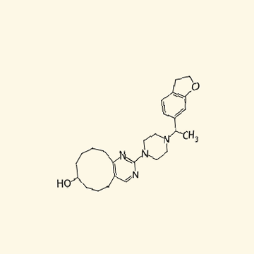 CC(c1ccc2c(c1)OCC2)N1CCN(c2ncc3c(n2)CCCCC(O)CCC3)CC1